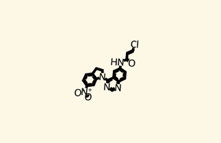 O=C(C=CCl)Nc1ccc2ncnc(N3CCc4ccc([N+](=O)[O-])cc43)c2c1